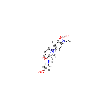 CCN(C(=O)O)c1ccc(N2CCCC3(CCN([C@H]4CC[C@H](O)CC4)C3=O)C2)c(C)c1